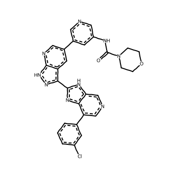 O=C(Nc1cncc(-c2cnc3[nH]nc(-c4nc5c(-c6cccc(Cl)c6)cncc5[nH]4)c3c2)c1)N1CCOCC1